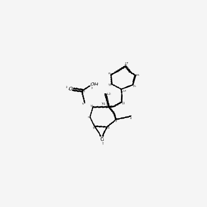 CC(=O)O.CC1C2OC2CCC1(C)CC1CCCCC1